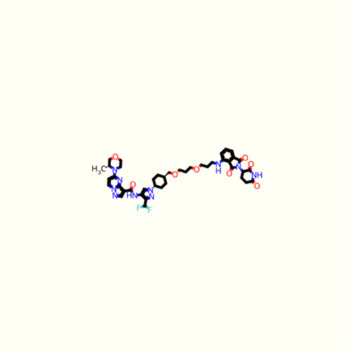 C[C@@H]1COCCN1c1ccn2ncc(C(=O)Nc3cn([C@H]4CC[C@H](COCCCOCCCNc5cccc6c5C(=O)N(C5CCC(=O)NC5=O)C6=O)CC4)nc3C(F)F)c2n1